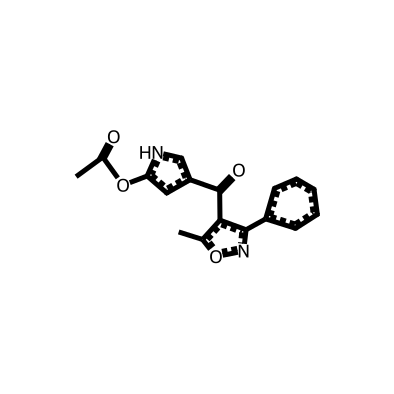 CC(=O)Oc1cc(C(=O)c2c(-c3ccccc3)noc2C)c[nH]1